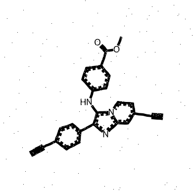 C#Cc1ccc(-c2nc3cc(C#C)ccn3c2Nc2ccc(C(=O)OC)cc2)cc1